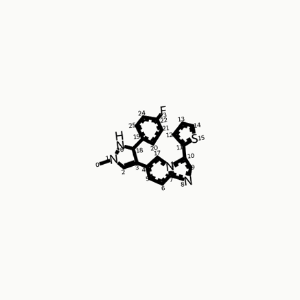 CN1C=C(c2ccc3ncc(-c4cccs4)n3c2)C(c2ccc(F)cc2)N1